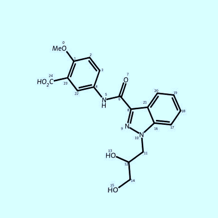 COc1ccc(NC(=O)c2nn(CC(O)CO)c3ccccc23)cc1C(=O)O